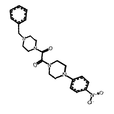 O=C(C(=O)N1CCN(c2ccc([N+](=O)[O-])cc2)CC1)N1CCN(Cc2ccccc2)CC1